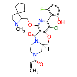 C=CC(=O)N1CCN2C(=O)c3c(OCC4N(C)CCC45CCCC5)nc(-c4c(O)cccc4F)c(Cl)c3OC[C@H]2C1